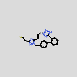 CCC=Cc1nc(CC=S)nn1Cc1ccc(-c2ccccc2-c2nnn[nH]2)cc1